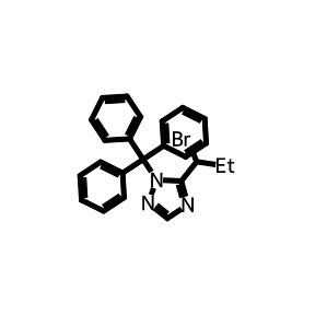 CCC(Br)c1ncnn1C(c1ccccc1)(c1ccccc1)c1ccccc1